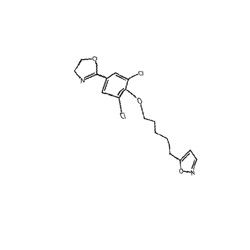 Clc1cc(C2=NCCO2)cc(Cl)c1OCCCCCc1ccno1